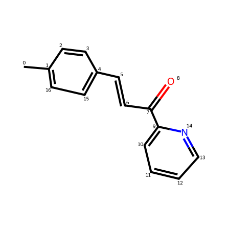 Cc1ccc(C=CC(=O)c2ccccn2)cc1